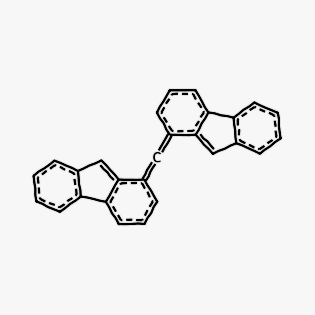 C(=c1cccc2c1=Cc1ccccc1-2)=c1cccc2c1=Cc1ccccc1-2